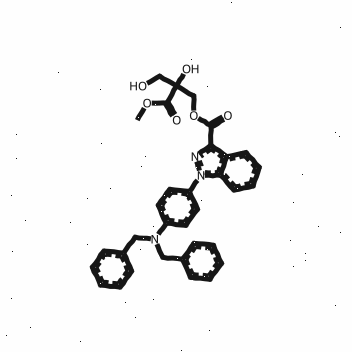 COC(=O)C(O)(CO)COC(=O)c1nn(-c2ccc(N(Cc3ccccc3)Cc3ccccc3)cc2)c2ccccc12